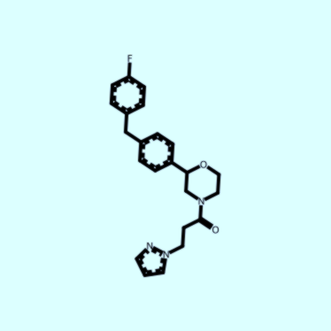 O=C(CCn1cccn1)N1CCOC(c2ccc(Cc3ccc(F)cc3)cc2)C1